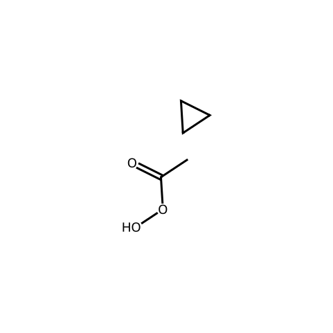 C1CC1.CC(=O)OO